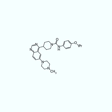 CC(C)Oc1ccc(NC(=O)N2CCC(c3ncnc4ccc(N5CCN(C)CC5)cc34)CC2)cc1